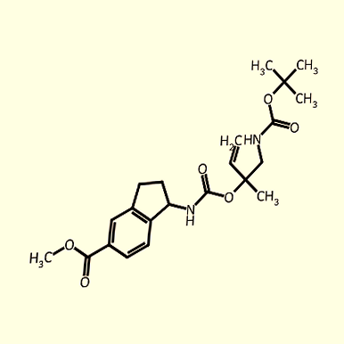 C=CC(C)(CNC(=O)OC(C)(C)C)OC(=O)NC1CCc2cc(C(=O)OC)ccc21